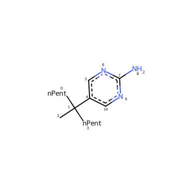 CCCCCC(C)(CCCCC)c1cnc(N)nc1